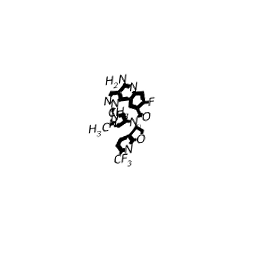 Cn1cc(N(C(=O)c2cc3c(cc2F)nc(N)c2cnn(C)c23)[C@@H]2COc3nc(C(F)(F)F)ccc32)cn1